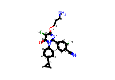 N#Cc1ccc(-c2nc(OCCCN)c(F)c(=O)n2-c2ccc(C3CC3)cc2)cc1F